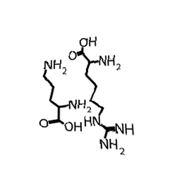 N=C(N)NCCCCC(N)C(=O)O.NCCCC(N)C(=O)O